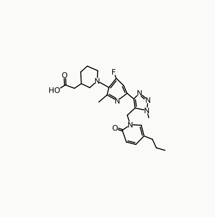 CCCc1ccc(=O)n(Cc2c(-c3cc(F)c(N4CCCC(CC(=O)O)C4)c(C)n3)nnn2C)c1